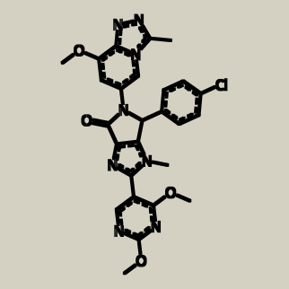 COc1ncc(-c2nc3c(n2C)C(c2ccc(Cl)cc2)N(c2cc(OC)c4nnc(C)n4c2)C3=O)c(OC)n1